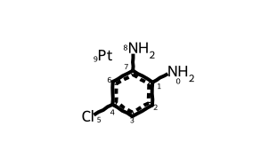 Nc1ccc(Cl)cc1N.[Pt]